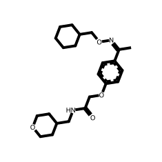 C/C(=N/OCC1CCCCC1)c1ccc(OCC(=O)NCC2CCOCC2)cc1